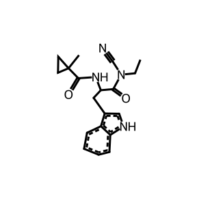 CCN(C#N)C(=O)C(Cc1c[nH]c2ccccc12)NC(=O)C1(C)CC1